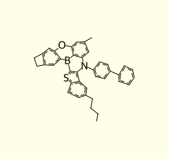 CCCCc1ccc2sc3c(c2c1)N(c1ccc(-c2ccccc2)cc1)c1cc(C)cc2c1B3c1cc3c(cc1O2)CC3